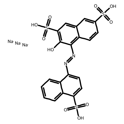 O=S(=O)(O)c1ccc2c(N=Nc3ccc(S(=O)(=O)O)c4ccccc34)c(O)c(S(=O)(=O)O)cc2c1.[Na].[Na].[Na]